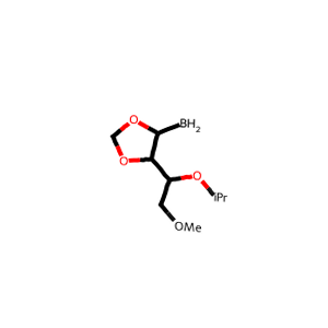 BC1OCOC1C(COC)OC(C)C